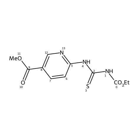 CCOC(=O)NC(=S)Nc1ccc(C(=O)OC)cn1